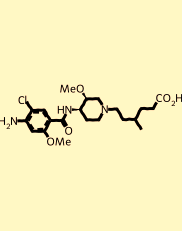 COc1cc(N)c(Cl)cc1C(=O)N[C@@H]1CCN(CCC(C)CCC(=O)O)C[C@@H]1OC